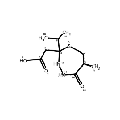 CC1CSC(CC(=O)O)(C(C)C)NNC1=O